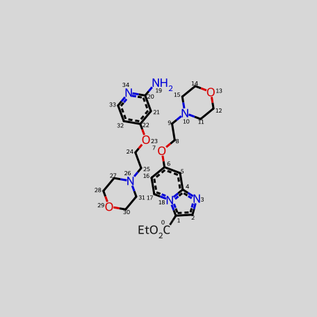 CCOC(=O)c1cnc2cc(OCCN3CCOCC3)ccn12.Nc1cc(OCCN2CCOCC2)ccn1